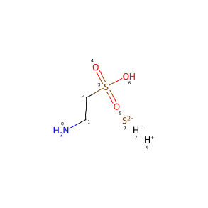 NCCS(=O)(=O)O.[H+].[H+].[S-2]